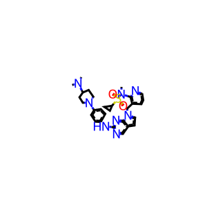 CN(C)C1CCN(c2ccc(Nc3ncc4ccn(Cc5cccnc5N(C)S(=O)(=O)C5CC5)c4n3)cc2)CC1